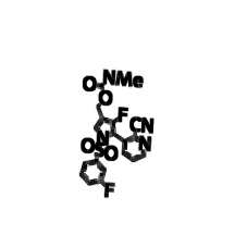 CNC(=O)OCc1cn(S(=O)(=O)c2cccc(F)c2)c(-c2cccnc2C#N)c1F